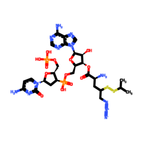 CC(C)SSC(CN=[N+]=[N-])C[C@H](N)C(=O)O[C@H]1[C@@H](O)[C@H](n2cnc3c(N)ncnc32)O[C@@H]1COP(=O)(O)[C@H]1C[C@H](n2ccc(N)nc2=O)O[C@@H]1COP(=O)(O)O